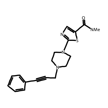 CNC(=O)c1cnc(N2CCN(CC#Cc3ccccc3)CC2)s1